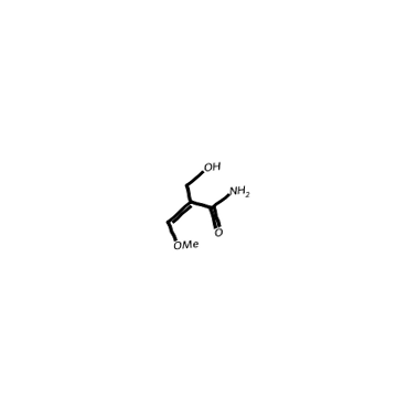 COC=C(CO)C(N)=O